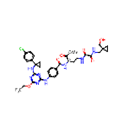 COC(=O)[C@@H](CCNC(=O)C(=O)NCC1(CO)CC1)NC(=O)c1ccc(Nc2nc(NC3(c4ccc(Cl)cc4)CC3)nc(OCC(F)(F)F)n2)cc1